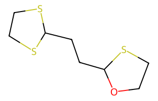 C1CSC(CCC2SCCS2)O1